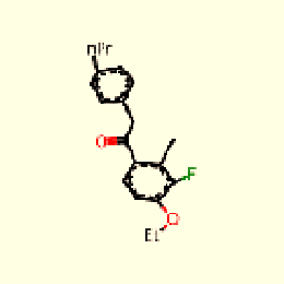 CCCc1ccc(CC(=O)c2ccc(OCC)c(F)c2C)cc1